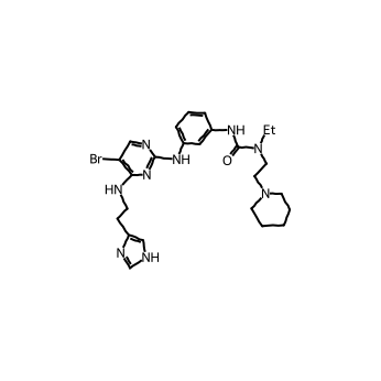 CCN(CCN1CCCCC1)C(=O)Nc1cccc(Nc2ncc(Br)c(NCCc3c[nH]cn3)n2)c1